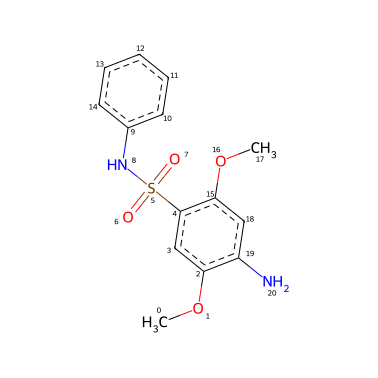 COc1cc(S(=O)(=O)Nc2ccccc2)c(OC)cc1N